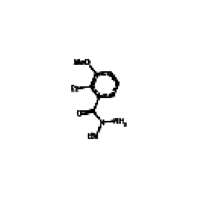 CCc1c(OC)cccc1C(=O)N(N)C(C)(C)C